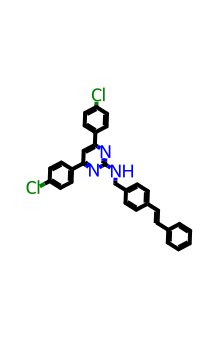 Clc1ccc(-c2cc(-c3ccc(Cl)cc3)nc(NCc3ccc(/C=C/c4ccccc4)cc3)n2)cc1